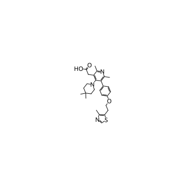 Cc1ncsc1CCOc1ccc(-c2c(C)nc(C)c(CC(=O)O)c2N2CCC(C)(C)CC2)cc1